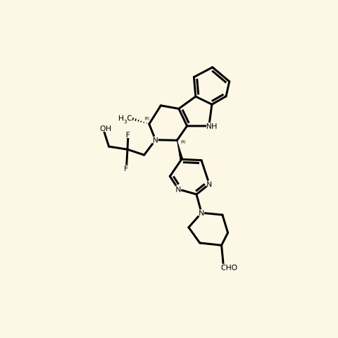 C[C@@H]1Cc2c([nH]c3ccccc23)[C@@H](c2cnc(N3CCC(C=O)CC3)nc2)N1CC(F)(F)CO